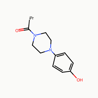 CC(C)C(=O)N1CCN(c2ccc(O)cc2)CC1